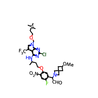 COC1CC2(C1)CN(C(C=O)c1cc(OCCC(C)Nc3nc(Cl)nc4c3c(C(F)(F)F)cn4COCC[Si](C)(C)C)c([N+](=O)[O-])cc1F)C2